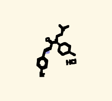 CN(C)CCN(C(=O)/C=C/c1ccc(Br)cc1)[C@H]1CC[C@H](C)CC1.Cl